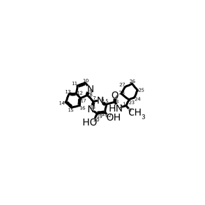 CC(NC(=O)c1nc(-c2nccc3ccccc23)nc(O)c1O)C1CCCCC1